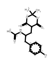 CC1(C)OC(=O)C(CC(Cc2ccc(Cl)cc2)NC(=O)O)C(=O)O1